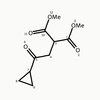 COC(=O)C(CC(=O)C1CC1)C(=O)OC